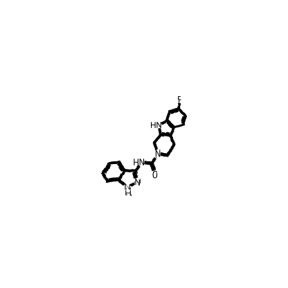 O=C(Nc1n[nH]c2ccccc12)N1CCc2c([nH]c3cc(F)ccc23)C1